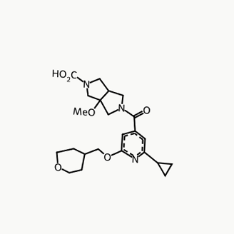 COC12CN(C(=O)O)CC1CN(C(=O)c1cc(OCC3CCOCC3)nc(C3CC3)c1)C2